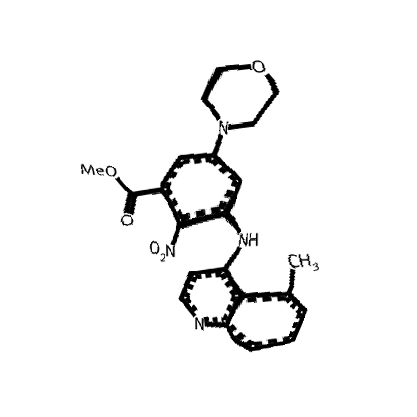 COC(=O)c1cc(N2CCOCC2)cc(Nc2ccnc3cccc(C)c23)c1[N+](=O)[O-]